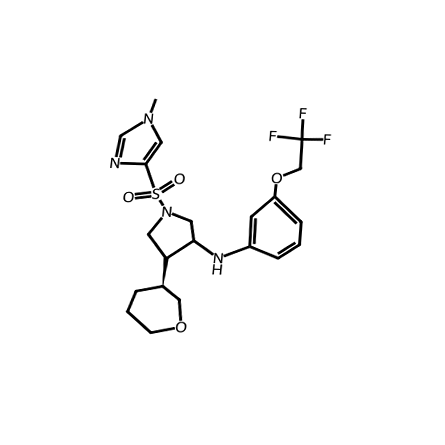 Cn1cnc(S(=O)(=O)N2CC(Nc3cccc(OCC(F)(F)F)c3)C([C@@H]3CCCOC3)C2)c1